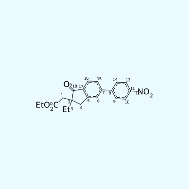 CCOC(=O)CC1(CC)Cc2cc(-c3ccc([N+](=O)[O-])cc3)ccc2C1=O